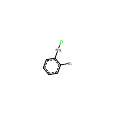 CCc1cccc[c]1[Mg][Cl]